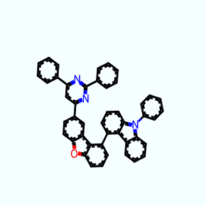 c1ccc(-c2cc(-c3ccc4oc5cccc(-c6cccc7c6c6ccccc6n7-c6ccccc6)c5c4c3)nc(-c3ccccc3)n2)cc1